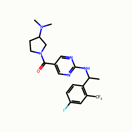 CC(Nc1ncc(C(=O)N2CCC(N(C)C)C2)cn1)c1ccc(F)cc1C(F)(F)F